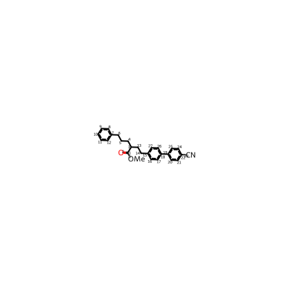 COC(=O)C(CCCc1ccccc1)CCc1ccc(-c2ccc(C#N)cc2)cc1